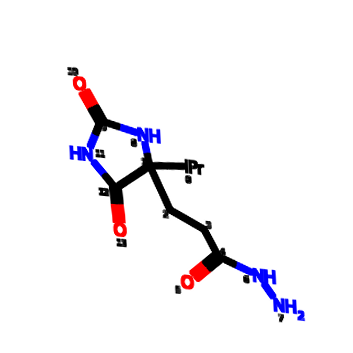 CC(C)C1(CCC(=O)NN)NC(=O)NC1=O